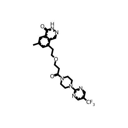 Cc1cc(CCOCCC(=O)N2CCN(c3ncc(C(F)(F)F)cn3)CC2)c2cn[nH]c(=O)c2c1